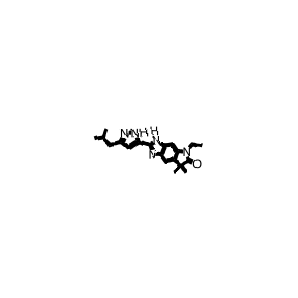 CCN1C(=O)C(C)(C)c2cc3nc(-c4cc(CC(C)C)n[nH]4)[nH]c3cc21